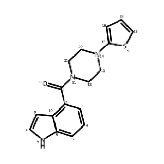 O=C(c1cccc2[nH]ccc12)N1CCN(c2cccs2)CC1